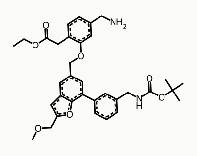 CCOC(=O)Cc1ccc(CN)cc1OCc1cc(-c2cccc(CNC(=O)OC(C)(C)C)c2)c2oc(COC)cc2c1